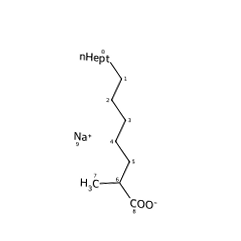 CCCCCCCCCCCCC(C)C(=O)[O-].[Na+]